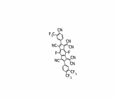 N#CC(C#N)=C1C(c2ccc(C#N)c(C(F)(F)F)c2)=C(C#N)c2c(F)c3c(c(F)c21)C(=C(C#N)C#N)C(c1ccc(C(F)(F)F)c(C(F)(F)F)c1)=C3C#N